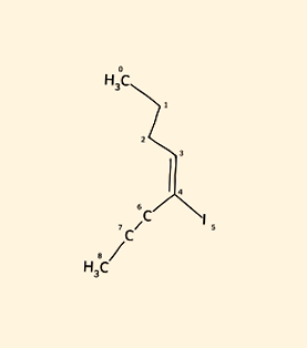 CCC/C=C(/I)CCC